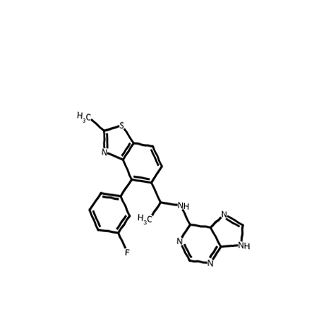 Cc1nc2c(-c3cccc(F)c3)c(C(C)NC3N=CN=C4NC=NC43)ccc2s1